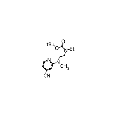 CCN(CCN(C)c1cc(C#N)ccn1)C(=O)OC(C)(C)C